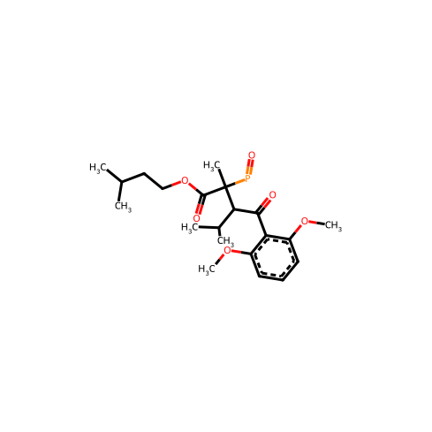 COc1cccc(OC)c1C(=O)C(C(C)C)C(C)(P=O)C(=O)OCCC(C)C